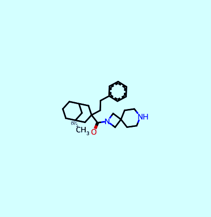 C[C@@]12CCCC(CC(CCc3ccccc3)(C(=O)N3CC4(CCNCC4)C3)C1)C2